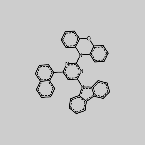 c1ccc2c(c1)Oc1ccccc1N2c1nc(-c2cccc3ccccc23)cc(-n2c3ccccc3c3ccccc32)n1